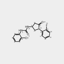 O=C(Nc1ccccc1Cl)NC1CC(=O)N(c2ccccc2F)C1